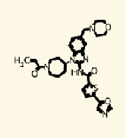 C=CC(=O)N1CCC[C@@H](n2c(NC(=O)c3ccc(-c4cnco4)s3)nc3cc(CN4CCOCC4)ccc32)CC1